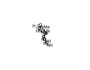 CNC(=O)[C@]1(C)CC[C@@H](Nc2ncc3c(Br)nn(-c4ccc5ncc(NC(=O)C6CNC6)cc5c4)c3n2)C1